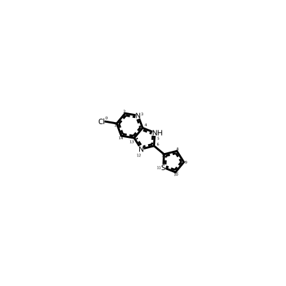 Clc1cnc2[nH]c(-c3cc[c]s3)nc2c1